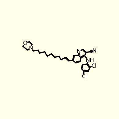 N#Cc1cnc2cc(C=CCCCCCCCCCN3CCOCC3)ccc2c1Nc1ccc(Cl)cc1Cl